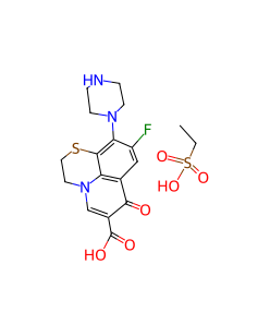 CCS(=O)(=O)O.O=C(O)c1cn2c3c(c(N4CCNCC4)c(F)cc3c1=O)SCC2